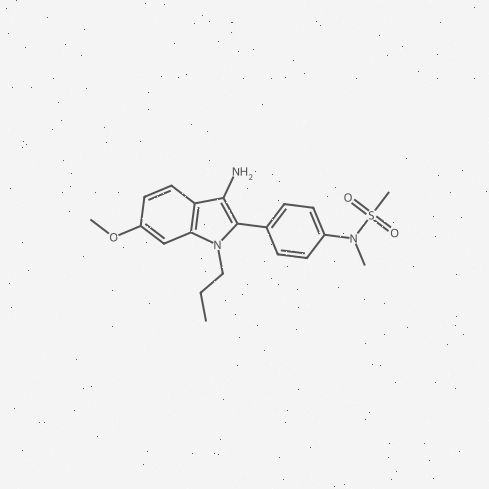 CCCn1c(-c2ccc(N(C)S(C)(=O)=O)cc2)c(N)c2ccc(OC)cc21